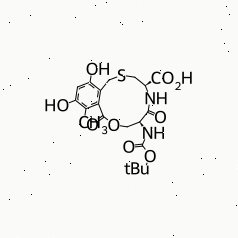 Cc1c(O)cc(O)c2c1C(=O)OC[C@H](NC(=O)OC(C)(C)C)C(=O)N[C@H](C(=O)O)CSC2